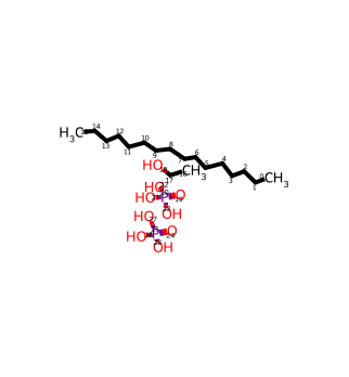 CCCCCCCCCCCCCCCC.CCO.O=P(O)(O)O.O=P(O)(O)O